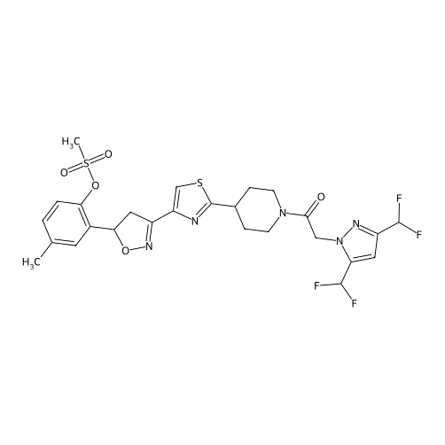 Cc1ccc(OS(C)(=O)=O)c(C2CC(c3csc(C4CCN(C(=O)Cn5nc(C(F)F)cc5C(F)F)CC4)n3)=NO2)c1